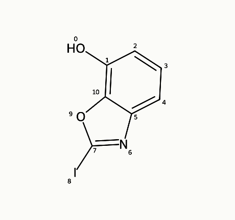 Oc1cccc2nc(I)oc12